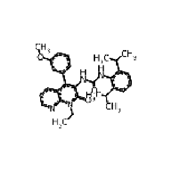 CCn1c(=O)c(NC(=O)Nc2c(C(C)C)cccc2C(C)C)c(-c2cccc(OC)c2)c2cccnc21